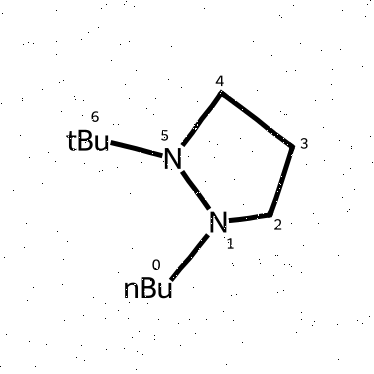 CCCCN1CCCN1C(C)(C)C